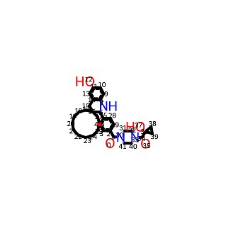 O=C(c1ccc(C2Nc3ccc(O)cc3CC23CCCCCCCCCCC3)cc1)N1CCN(C(=O)C2(O)CC2)CC1